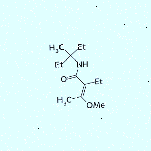 CC/C(C(=O)NC(C)(CC)CC)=C(/C)OC